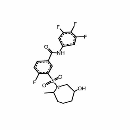 CC1CCCC(O)CN1S(=O)(=O)c1cc(C(=O)Nc2cc(F)c(F)c(F)c2)ccc1F